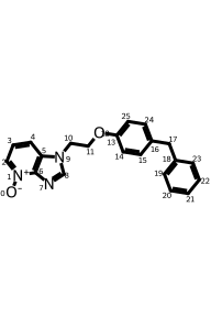 [O-][n+]1cccc2c1ncn2CCOc1ccc(Cc2ccccc2)cc1